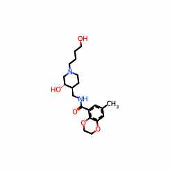 Cc1cc2c(c(C(=O)NC[C@@H]3CCN(CCCCO)C[C@H]3O)c1)OCCO2